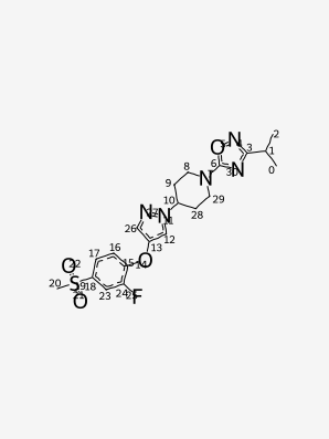 CC(C)c1noc(N2CCC(n3cc(Oc4ccc(S(C)(=O)=O)cc4F)cn3)CC2)n1